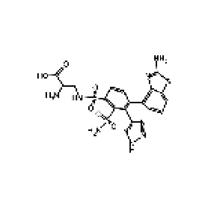 Nc1nc2c(-c3ccc(S(=O)(=O)NC[C@@H](N)C(=O)O)c(S(N)(=O)=O)c3-c3nn[nH]n3)cccc2s1